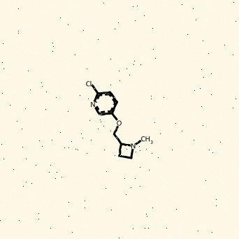 CN1CCC1COc1ccc(Cl)nc1